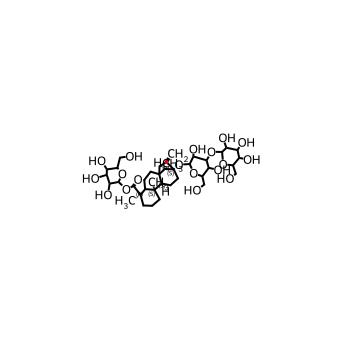 C=C1CC23CCC4[C@](C)(C(=O)OC5OC(CO)C(O)C(O)C5O)CCC[C@@]4(C)[C@@H]2CC[C@]1(OC1OC(CO)C(O)C(OC2OC(CO)C(O)C(O)C2O)C1O)[C@@H]3C